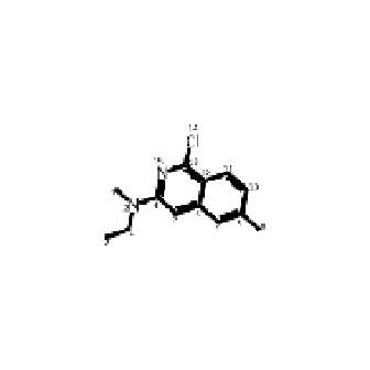 CCN(C)c1cc2cc(C)ccc2c(Cl)n1